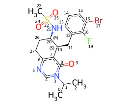 CC(C)n1cnc2c(c1=O)[C@H](Cc1cccc(Br)c1F)[C@H](NS(C)(=O)=O)CC2